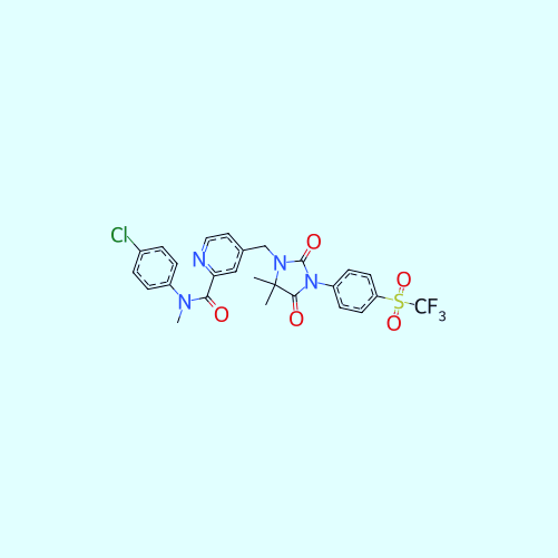 CN(C(=O)c1cc(CN2C(=O)N(c3ccc(S(=O)(=O)C(F)(F)F)cc3)C(=O)C2(C)C)ccn1)c1ccc(Cl)cc1